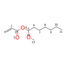 C=CC(=O)OC(CCCCCC)OC